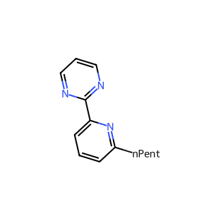 CCCCCc1cccc(-c2ncccn2)n1